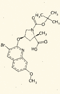 COc1ccc2cc(Br)c(O[C@H]3CN(C(=O)OC(C)(C)C)[C@](C)(C(=O)O)C3)nc2c1